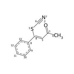 CC(=O)/C=C(\SC#N)c1ccccc1